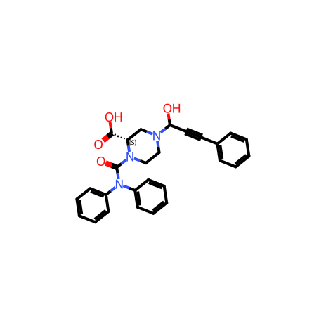 O=C(O)[C@@H]1CN(C(O)C#Cc2ccccc2)CCN1C(=O)N(c1ccccc1)c1ccccc1